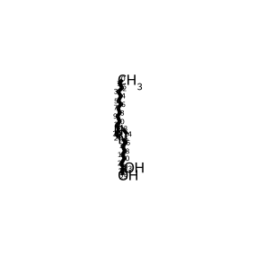 CCCCCCCCCCCCN1CCN(CCCCCCC(O)CO)CC1